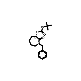 CC(C)(C)NC(=O)O[C@H]1CCCCN(Cc2ccccc2)C1=O